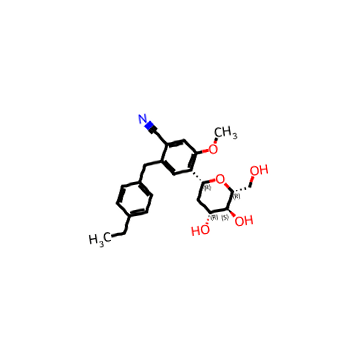 CCc1ccc(Cc2cc([C@H]3C[C@@H](O)[C@H](O)[C@@H](CO)O3)c(OC)cc2C#N)cc1